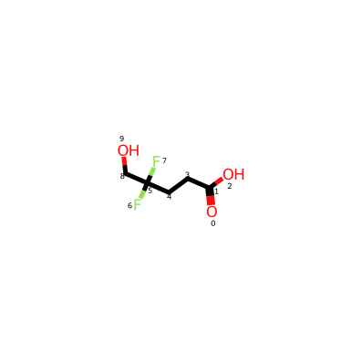 O=C(O)CCC(F)(F)CO